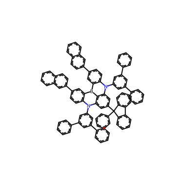 c1ccc(-c2cc(-c3ccccc3)cc(N3c4ccc(-c5ccc6ccccc6c5)cc4B4c5cc(-c6ccc7ccccc7c6)ccc5N(c5cc(-c6ccccc6)cc(-c6ccccc6)c5)c5cc(C6(c7ccccc7)c7ccccc7-c7ccccc76)cc3c54)c2)cc1